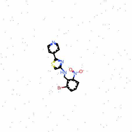 O=[N+]([O-])c1cccc(Br)c1CNc1csc(-c2ccncc2)n1